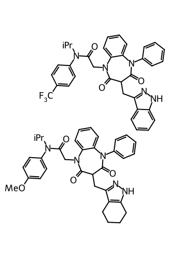 CC(C)N(C(=O)CN1C(=O)C(Cc2n[nH]c3ccccc23)C(=O)N(c2ccccc2)c2ccccc21)c1ccc(C(F)(F)F)cc1.COc1ccc(N(C(=O)CN2C(=O)C(Cc3n[nH]c4c3CCCC4)C(=O)N(c3ccccc3)c3ccccc32)C(C)C)cc1